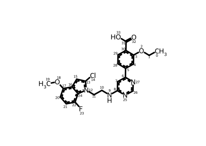 CCOc1cc(-c2cc(NCCn3c(Cl)cc4c(OC)ccc(F)c43)ncn2)ccc1C(=O)O